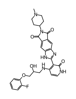 CN1CCC(N2C(=O)c3cc4nc(-c5c(NCC(O)COc6ccccc6F)cc[nH]c5=O)[nH]c4cc3C2=O)CC1